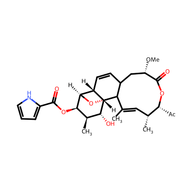 CO[C@H]1CC2C=C[C@H]3[C@H]4O[C@]2(/C(C)=C/[C@@H](C)[C@@H](C(C)=O)OC1=O)[C@@H]3[C@H](O)[C@@H](C)[C@H]4OC(=O)c1ccc[nH]1